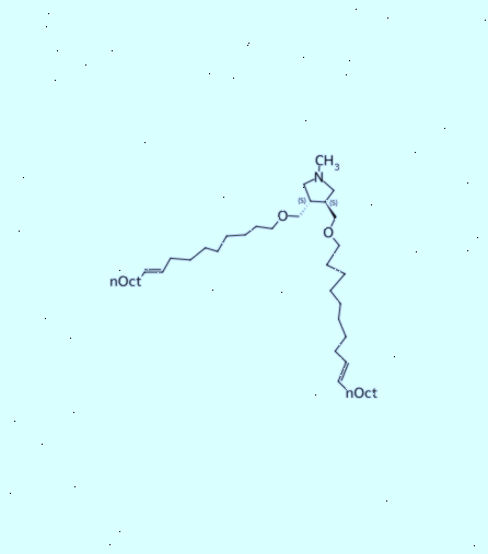 CCCCCCCCC=CCCCCCCCCOC[C@@H]1CN(C)C[C@H]1COCCCCCCCCC=CCCCCCCCC